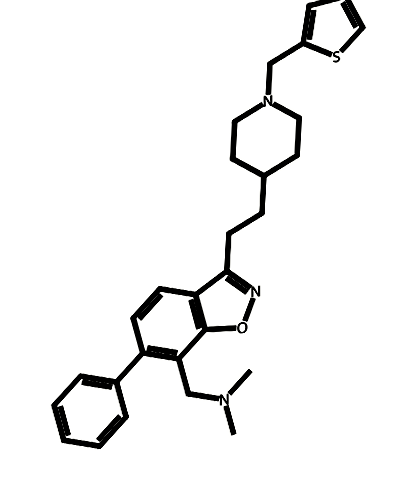 CN(C)Cc1c(-c2ccccc2)ccc2c(CCC3CCN(Cc4cccs4)CC3)noc12